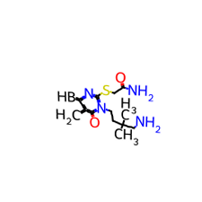 B=c1nc(SCC(N)=O)n(CCC(C)(C)CN)c(=O)c1=C